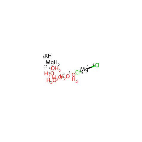 O.O.O.O.O.O.[Cl][Mg][Cl].[KH].[MgH2]